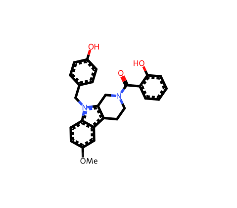 COc1ccc2c(c1)c1c(n2Cc2ccc(O)cc2)CN(C(=O)c2ccccc2O)CC1